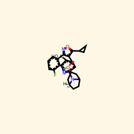 O=C(O)c1ccc(N2C3CC[C@H]2CC(OCc2c(-c4cccc(F)c4F)noc2C2CC2)C3)nc1